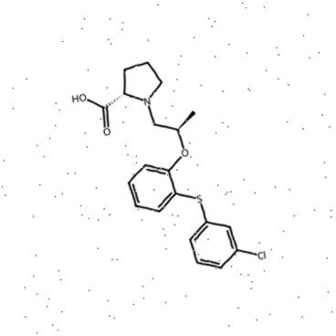 C[C@H](CN1CCC[C@H]1C(=O)O)Oc1ccccc1Sc1cccc(Cl)c1